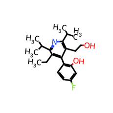 CCc1c(C(C)C)nc(C(C)C)c(CCO)c1-c1ccc(F)cc1O